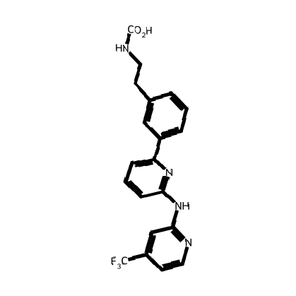 O=C(O)NCCc1cccc(-c2cccc(Nc3cc(C(F)(F)F)ccn3)n2)c1